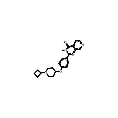 Cn1c(-c2ccc(OC3CCN(C4CCC4)CC3)cc2)nc2cnccc2c1=O